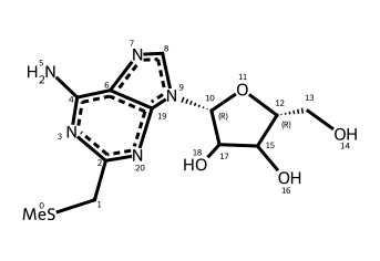 CSCc1nc(N)c2ncn([C@@H]3O[C@H](CO)C(O)C3O)c2n1